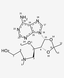 CO[C@H](CN(C)CCO)[C@H]1OC(C)(C)O[C@H]1n1cnc2c(N)ncnc21